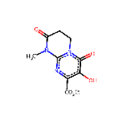 CCOC(=O)c1nc2n(c(=O)c1O)CCC(=O)N2C